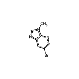 Cn1[c]nc2cc(Br)cnc21